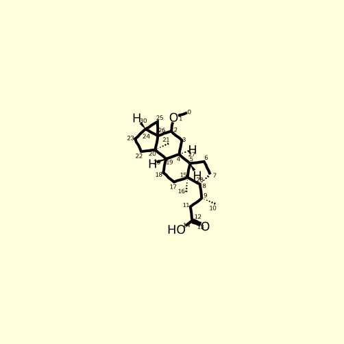 COC1C[C@H]2[C@@H]3CC[C@H]([C@H](C)CC(=O)O)[C@@]3(C)CC[C@@H]2[C@@]2(C)CC[C@@H]3CC132